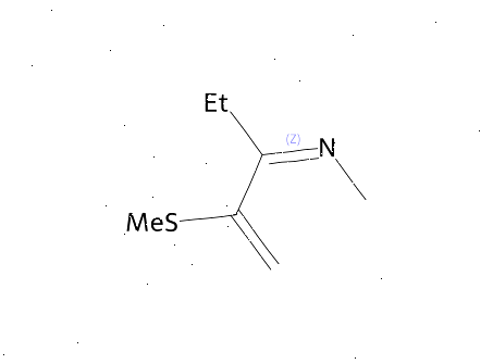 C=C(SC)/C(CC)=N\C